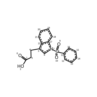 O=C(O)CCc1cn(S(=O)(=O)c2ccccc2)c2ccccc12